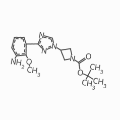 COc1c(N)cccc1-c1ncn(C2CN(C(=O)OC(C)(C)C)C2)n1